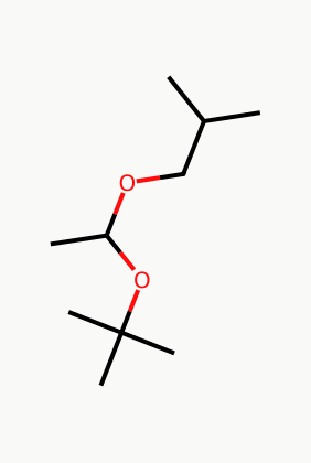 CC(C)COC(C)OC(C)(C)C